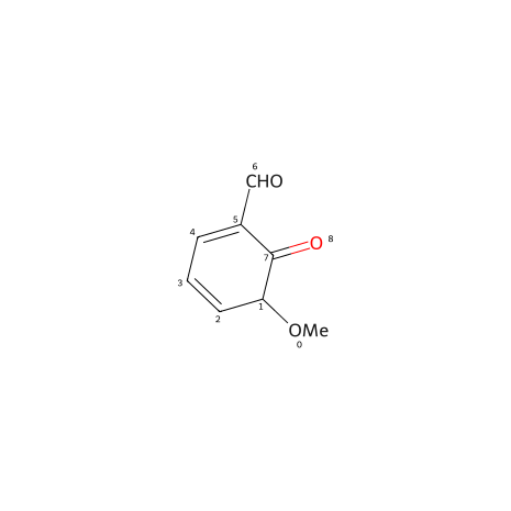 COC1C=CC=C(C=O)C1=O